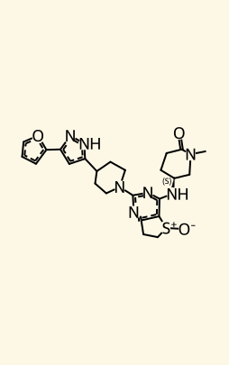 CN1C[C@@H](Nc2nc(N3CCC(c4cc(-c5ccco5)n[nH]4)CC3)nc3c2[S+]([O-])CC3)CCC1=O